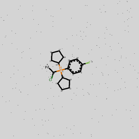 Fc1ccc([PH]([CH](Cl)[Pd])(C2CCCC2)C2CCCC2)cc1